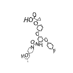 CC(C)CC1(O)CCN(C(=O)Nc2cc(Oc3ccc(F)cc3)cc(Oc3cccc(OC4(C(=O)O)CC4)c3)c2)CC1